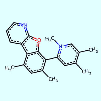 Cc1cc(-c2c(C)cc(C)c3c2oc2ncccc23)[n+](C)cc1C